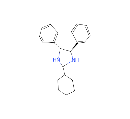 c1ccc([C@H]2NC(C3CCCCC3)N[C@@H]2c2ccccc2)cc1